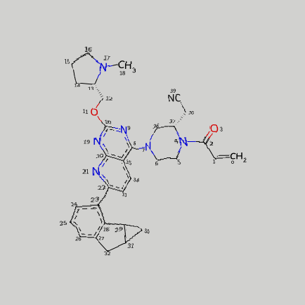 C=CC(=O)N1CCN(c2nc(OC[C@@H]3CCCN3C)nc3nc(-c4cccc5c4C4CC4C5)ccc23)C[C@@H]1CC#N